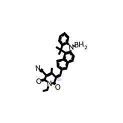 BN1c2ccccc2C(C)(C)c2c1ccc1cc(/C=C3/C(=O)N(CC)C(=O)C(C#N)=C3C)ccc21